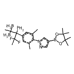 BC(B)(C)C(P)(c1cc(C)c(-n2cc(B3OC(C)(C)C(C)(C)O3)cn2)c(C)c1)C(C)(F)F